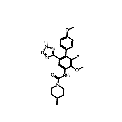 COc1ccc(-c2c(-c3nn[nH]n3)cc(NC(=O)N3CCC(C)CC3)c(OC)c2F)cc1